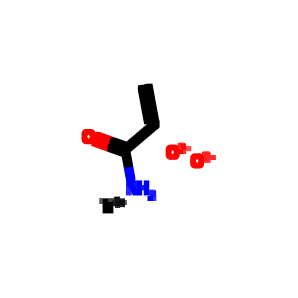 C=CC(N)=O.[O-2].[O-2].[Ti+4]